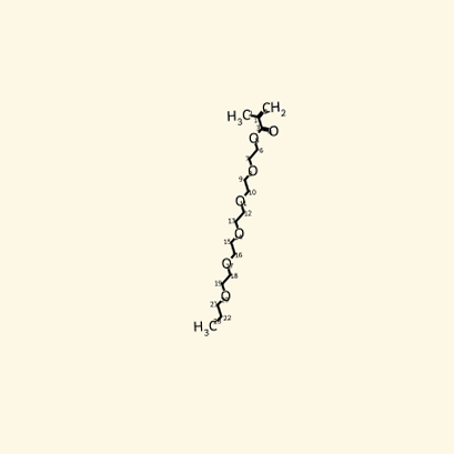 C=C(C)C(=O)OCCOCCOCCOCCOCCOCCC